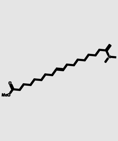 C=C(CCCCCCC/C=C/CCCCCCCC(=O)OC)N(C)C